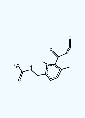 Cc1ccc(CNC(=O)C(F)(F)F)c(C)c1C(=O)N=C=O